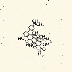 C[C@H]1c2c(-c3ccc(N(C)C)cc3)ccc(O)c2C(=O)C2=C(O)[C@]3(O)C(=O)C(C(N)=O)=C(O)[C@@H](N(C)C)[C@@H]3[C@@H](O)[C@@H]21